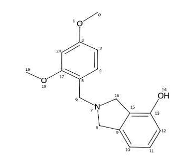 COc1ccc(CN2Cc3cccc(O)c3C2)c(OC)c1